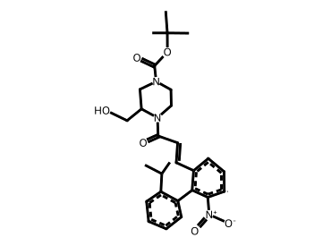 CC(C)c1ccccc1-c1c([N+](=O)[O-])[c]ccc1/C=C/C(=O)N1CCN(C(=O)OC(C)(C)C)CC1CO